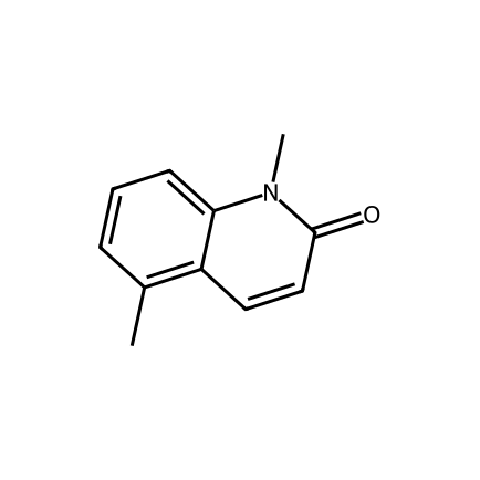 Cc1cccc2c1ccc(=O)n2C